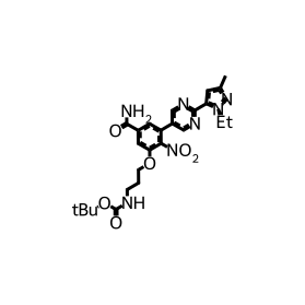 CCn1nc(C)cc1-c1ncc(-c2cc(C(N)=O)cc(OCCCNC(=O)OC(C)(C)C)c2[N+](=O)[O-])cn1